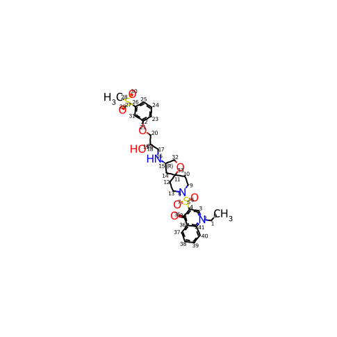 CCn1cc(S(=O)(=O)N2CCC3(CC2)C[C@@H](NC[C@H](O)COc2cccc(S(C)(=O)=O)c2)CO3)c(=O)c2ccccc21